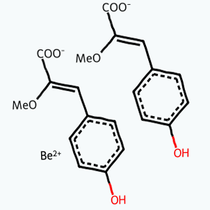 CO/C(=C\c1ccc(O)cc1)C(=O)[O-].CO/C(=C\c1ccc(O)cc1)C(=O)[O-].[Be+2]